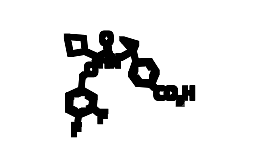 O=C(O)c1ccc(C2(NC(=O)C(OCc3ccc(F)c(F)c3)C3CCC3)CC2)cc1